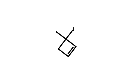 CC1(I)C=CC1